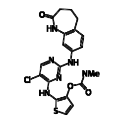 CNC(=O)Oc1ccsc1Nc1nc(Nc2ccc3c(c2)NC(=O)CCC3)ncc1Cl